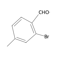 Cc1ccc([C]=O)c(Br)c1